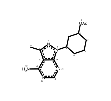 CC(=O)OC1CCCC(n2nc(C)c3c(N)ncnc32)C1